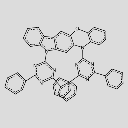 c1ccc(-c2nc(-c3ccccc3)nc(N3c4ccccc4Oc4cc5c6ccccc6n(-c6nc(-c7ccccc7)nc(-c7ccccc7)n6)c5cc43)n2)cc1